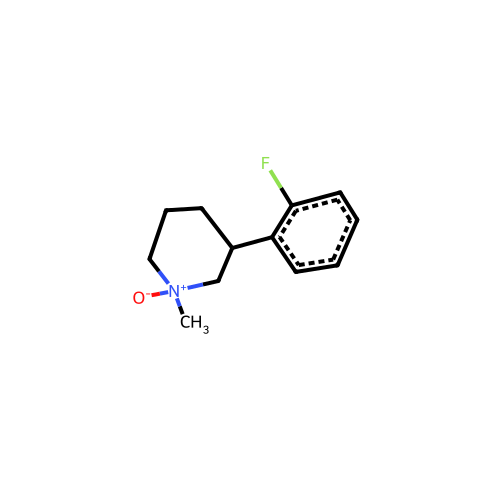 C[N+]1([O-])CCCC(c2ccccc2F)C1